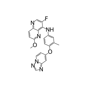 COc1ccc2ncc(F)c(Nc3ccc(Oc4ccn5ncnc5c4)c(C)c3)c2n1